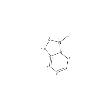 CN1[C]SC2=CC=CCC21